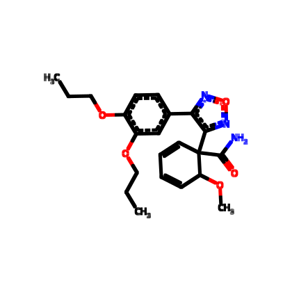 CCCOc1ccc(-c2nonc2C2(C(N)=O)C=CC=CC2OC)cc1OCCC